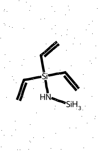 C=C[Si](C=C)(C=C)N[SiH3]